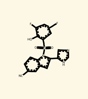 N#Cc1ccc2c(c1)cc(-c1cnc[nH]1)n2S(=O)(=O)c1cc(F)cc(F)c1O